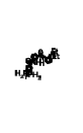 CCN(CC)Cc1ccccc1CNC(=O)c1cccc(NC(=O)c2ccc(C(F)(P)P)cc2)c1